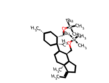 C/C=C1/CCC2[C@H](CO[Si](C)(C)C(C)(C)C)C([C@@]3(C)CC[C@H](C)C[C@@H]3CO[Si](C)(C)C(C)(C)C)CC[C@]12C